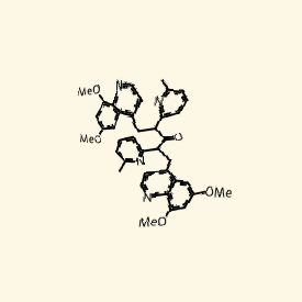 COc1cc(OC)c2nccc(CC(C(=O)C(Cc3ccnc4c(OC)cc(OC)cc34)c3cccc(C)n3)c3cccc(C)n3)c2c1